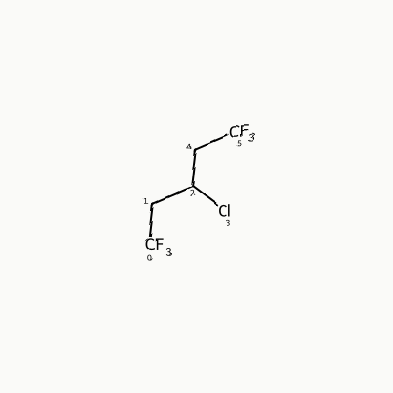 FC(F)(F)CC(Cl)CC(F)(F)F